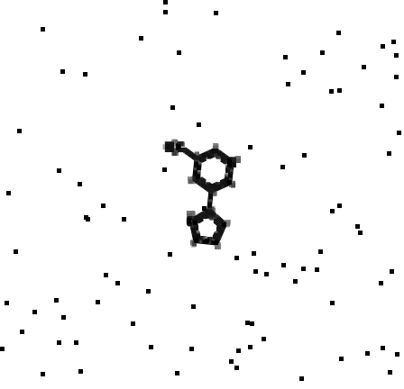 [CH2]c1cncc(-c2ccco2)c1